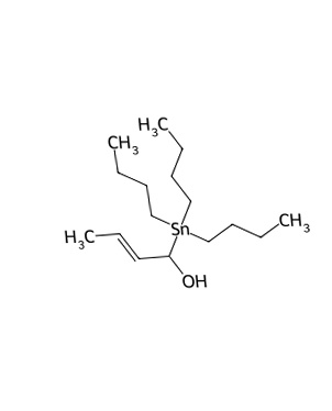 CC=C[CH](O)[Sn]([CH2]CCC)([CH2]CCC)[CH2]CCC